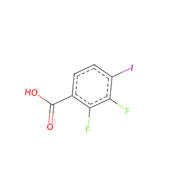 O=C(O)c1ccc(I)c(F)c1F